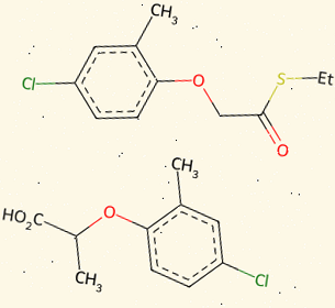 CCSC(=O)COc1ccc(Cl)cc1C.Cc1cc(Cl)ccc1OC(C)C(=O)O